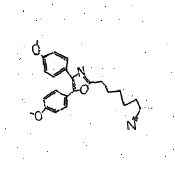 COc1ccc(-c2nc(CCCCC[C@H](C)C#N)oc2-c2ccc(OC)cc2)cc1